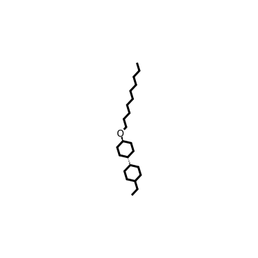 CCCCCCCCCCO[C@H]1CC[C@H](C2CCC(CC)CC2)CC1